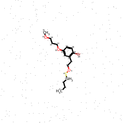 CCC[SiH2]SOCCc1cc(OCCCOC)ccc1Br